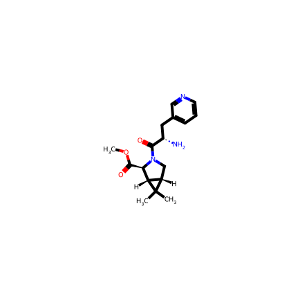 COC(=O)[C@@H]1[C@@H]2[C@H](CN1C(=O)[C@@H](N)Cc1cccnc1)C2(C)C